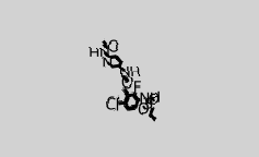 CCCS(=O)(=O)Nc1ccc(Cl)c(COCNc2ccc(NC(C)=O)nc2)c1F